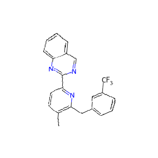 Cc1ccc(-c2ncc3ccccc3n2)nc1Cc1cccc(C(F)(F)F)c1